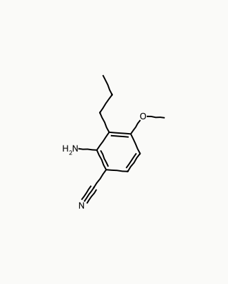 CCCc1c(OC)ccc(C#N)c1N